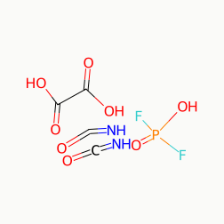 N=C=O.N=C=O.O=C(O)C(=O)O.O=P(O)(F)F